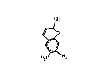 Cc1cc2c(cc1C)OC(O)C=C2